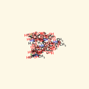 COC1OC(CO)C(OC2OC(COC3OC(CO)C(O)C(O)C3OC3OC(CO)C(OC4OC(CO)C(O)C(OC5(C(=O)O)CC(O)C(NC(C)=O)C([C@H](O)[C@H](F)CO)O5)C4O)C(O)C3NC(C)=O)C(O)C(OC3OC(CO)C(O)C(O)C3OC3OC(CO)C(OC4OC(CO)C(O)C(OC5(C(=O)O)CC(O)C(NC(C)=O)C([C@H](O)[C@H](F)CO)O5)C4O)C(O)C3NC(C)=O)C2O)C(O)C1NC(C)=O